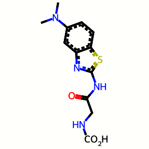 CN(C)c1ccc2sc(NC(=O)CNC(=O)O)nc2c1